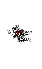 C=CCOc1c(OC)c(C)cc2c1[C@H]1C3[C@@H]4SC[C@]5(NCCc6cc(OC(=O)OC(C)(C)C)c(OC)cc65)C(=O)OC[C@@H](c5c6c(c(C)c(OC(C)=O)c54)OCO6)N3[C@@H](C#N)[C@H](C2)N1C(=O)OC(C)(C)C